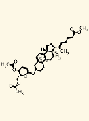 COC(=O)CCC/C=C(\C)[C@H]1CC[C@H]2C3CC=C4C[C@@H](OC5C=C[C@H](OC(C)=O)[C@@H](COC(C)=O)O5)CC[C@]4(C)[C@H]3CC[C@]12C